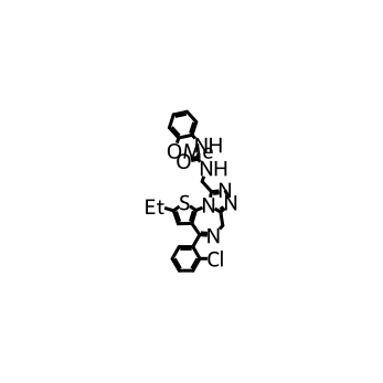 CCc1cc2c(s1)-n1c(nnc1CNC(=O)Nc1ccccc1OC)CN=C2c1ccccc1Cl